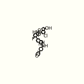 O=S(=O)(Nc1ccc(F)c(-c2ccc3nc(NC4CCC(N5CCOCC5)CC4)ncc3c2)c1F)c1cc(Cl)cc2c1CC[C@H]2O